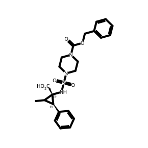 CC1[C@H](c2ccccc2)[C@]1(NS(=O)(=O)N1CCN(C(=O)OCc2ccccc2)CC1)C(=O)O